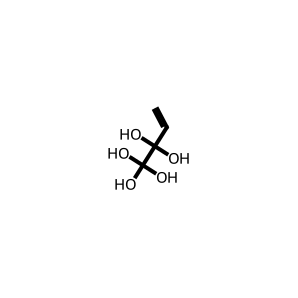 C=CC(O)(O)C(O)(O)O